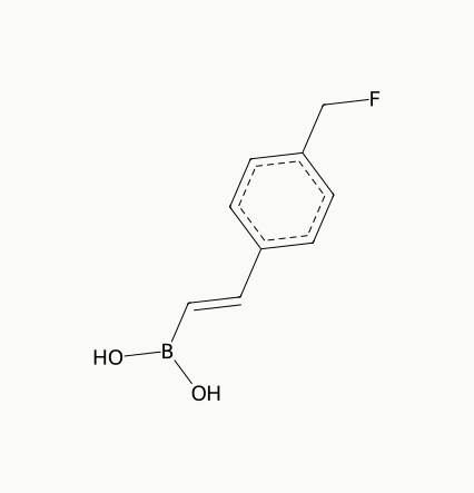 OB(O)/C=C/c1ccc(CF)cc1